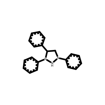 [C]1C(c2ccccc2)N(c2ccccc2)NN1c1ccccc1